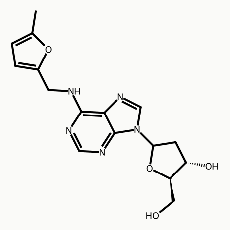 Cc1ccc(CNc2ncnc3c2ncn3C2C[C@H](O)[C@@H](CO)O2)o1